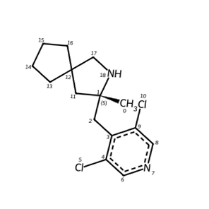 C[C@@]1(Cc2c(Cl)cncc2Cl)CC2(CCCC2)CN1